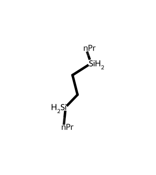 CCC[SiH2]CC[SiH2]CCC